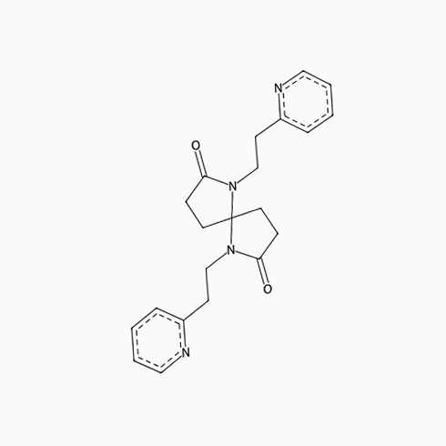 O=C1CCC2(CCC(=O)N2CCc2ccccn2)N1CCc1ccccn1